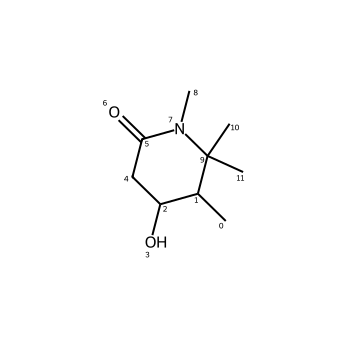 CC1C(O)CC(=O)N(C)C1(C)C